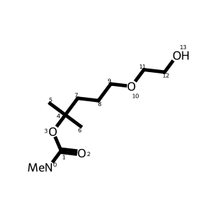 CNC(=O)OC(C)(C)CCCOCCO